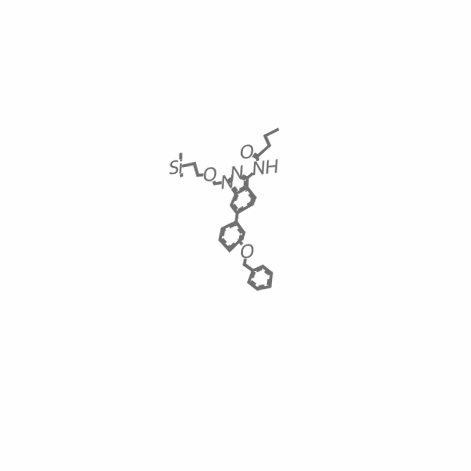 CCCC(=O)Nc1nn(COCC[Si](C)(C)C)c2cc(-c3cccc(OCc4ccccc4)c3)ccc12